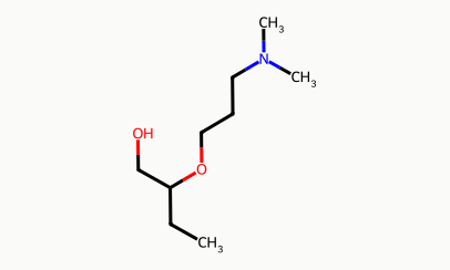 CCC(CO)OCCCN(C)C